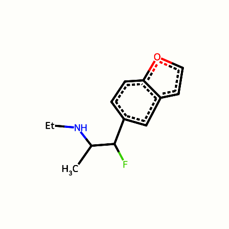 CCNC(C)C(F)c1ccc2occc2c1